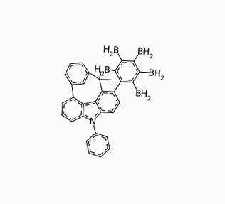 Bc1c(B)c(B)c(-c2ccc3c4c2C(C)(C)c2cccc(c2)-c2cccc(c24)n3-c2ccccc2)c(B)c1B